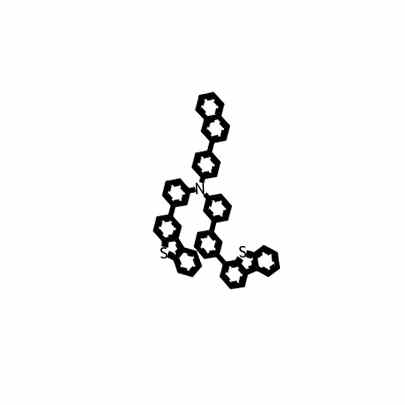 c1cc(-c2cccc(N(c3ccc(-c4ccc5ccccc5c4)cc3)c3cccc(-c4ccc5sc6ccccc6c5c4)c3)c2)cc(-c2cccc3c2sc2ccccc23)c1